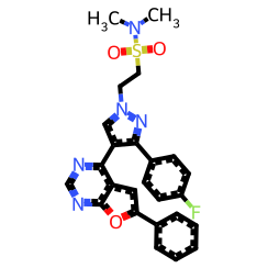 CN(C)S(=O)(=O)CCn1cc(-c2ncnc3oc(-c4ccccc4)cc23)c(-c2ccc(F)cc2)n1